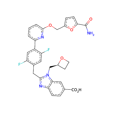 NC(=O)c1ccc(COc2cccc(-c3cc(F)c(Cc4nc5ccc(C(=O)O)cc5n4C[C@@H]4CCO4)cc3F)n2)o1